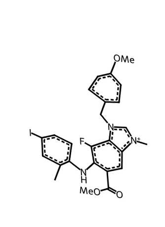 COC(=O)c1cc2c(c(F)c1Nc1ccc(I)cc1C)n(Cc1ccc(OC)cc1)c[n+]2C